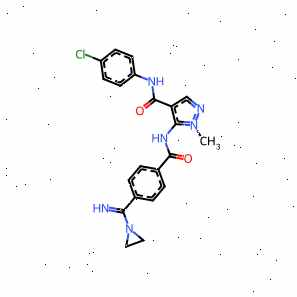 Cn1ncc(C(=O)Nc2ccc(Cl)cc2)c1NC(=O)c1ccc(C(=N)N2CC2)cc1